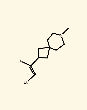 CCC=C(CC)C1CC2(CCN(I)CC2)C1